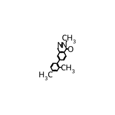 CCn1ncc2cc(-c3ccc(C)cc3C)ccc2c1=O